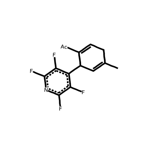 CC(=O)C1=CCC(C)=CC1c1c(F)c(F)nc(F)c1F